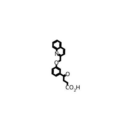 O=C(O)CCC(=O)c1cccc(OCc2ccc3ccccc3n2)c1